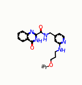 CC(C)OCCCNc1cc(CNC(=O)c2nc3ccccc3c(=O)[nH]2)ccn1